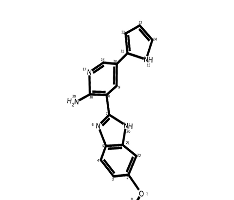 COc1ccc2nc(-c3cc(-c4ccc[nH]4)cnc3N)[nH]c2c1